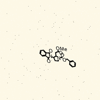 COC(=O)CC1C(N2C(=O)c3ccccc3C2=O)CCN1C(=O)OCc1ccccc1